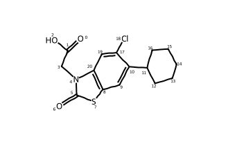 O=C(O)Cn1c(=O)sc2cc(C3CCCCC3)c(Cl)cc21